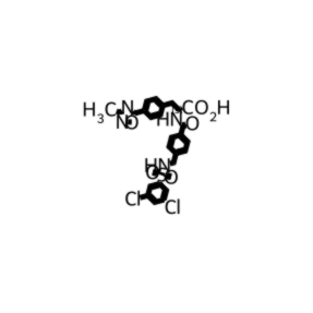 Cc1noc(-c2ccc(C[C@H](NC(=O)c3ccc(CNS(=O)(=O)c4cc(Cl)cc(Cl)c4)cc3)C(=O)O)cc2)n1